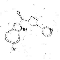 O=C(c1cc2ccc(Br)cc2[nH]1)C1CSN(c2cccnc2)C1